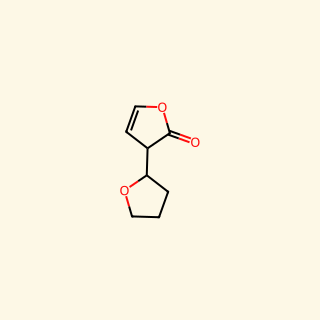 O=C1OC=CC1C1CCCO1